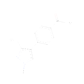 COC(=O)c1ccc(-c2cn(C)nc2OC)cc1